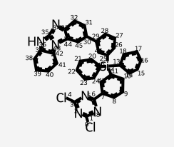 Clc1nc(Cl)nc(-c2cccc([Si](c3ccccc3)(c3ccccc3)c3cccc(-c4ccc5nc6[nH]c7ccccc7n6c5c4)c3)c2)n1